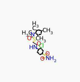 Cc1cc(C)c(N(C)C(=O)SCC(=O)Nc2ccc(S(N)(=O)=O)cc2Cl)c(C)c1